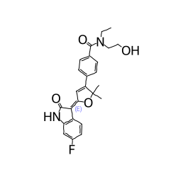 CCN(CCO)C(=O)c1ccc(C2=C/C(=C3\C(=O)Nc4cc(F)ccc43)OC2(C)C)cc1